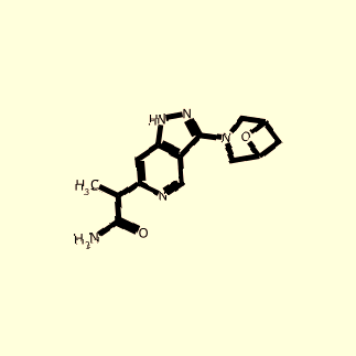 CC(C(N)=O)c1cc2[nH]nc(N3CC4CC(C3)O4)c2cn1